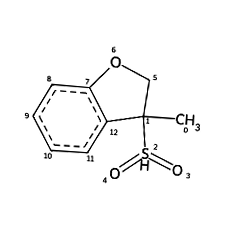 CC1([SH](=O)=O)COc2ccccc21